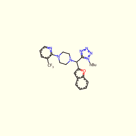 CCCCn1nnnc1C(c1cc2ccccc2o1)N1CCN(c2ncccc2C(F)(F)F)CC1